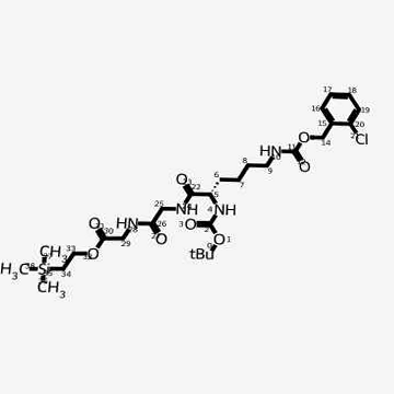 CC(C)(C)OC(=O)N[C@@H](CCCCNC(=O)OCc1ccccc1Cl)C(=O)NCC(=O)NCC(=O)OCC[Si](C)(C)C